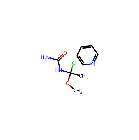 COC(C)(Cl)NC(N)=O.c1ccncc1